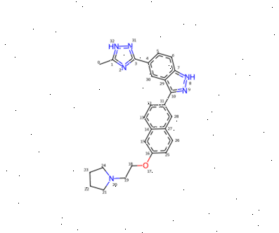 Cc1nc(-c2ccc3[nH]nc(-c4ccc5cc(OCCN6CCCC6)ccc5c4)c3c2)n[nH]1